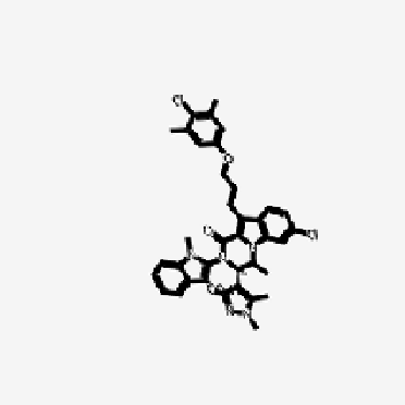 Cc1cc(OCCCc2c3n(c4cc(Cl)ccc24)C(C)[C@@H](c2c(C)nn(C)c2C)N(c2c(C(=O)O)c4ccccc4n2C)C3=O)cc(C)c1Cl